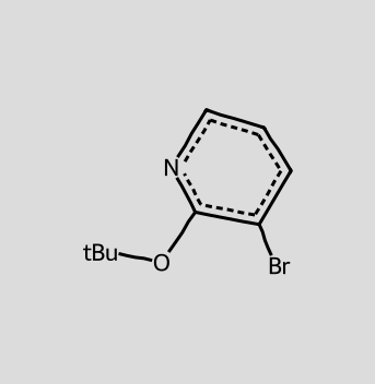 CC(C)(C)Oc1ncccc1Br